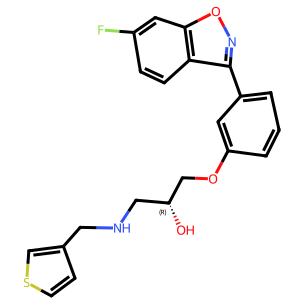 O[C@H](CNCc1ccsc1)COc1cccc(-c2noc3cc(F)ccc23)c1